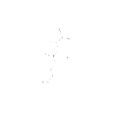 Cl.NCCOC(=O)CC(F)=C(F)F